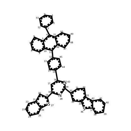 c1ccc(-c2c3ccccc3c(-c3ccc(-c4cc(-c5cc6ccccc6s5)nc(-c5ccc6c(c5)sc5ccccc56)n4)cc3)c3ccccc23)cc1